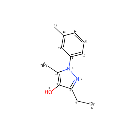 CCCc1c(O)c(CC(C)C)nn1-c1cccc(C)c1